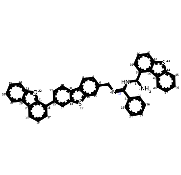 NC(N/C(=N\Cc1ccc2c(c1)sc1cc(-c3cccc4c3oc3ccccc34)ccc12)c1ccccc1)c1cccc2sc3ccccc3c12